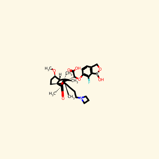 CO[C@@H]1CC[C@@]23CC[C@@H](C)[C@](C)([C@H](C(Oc4ccc5c(c4F)B(O)OC5)C(=O)O)C[C@](C)(CCN4CCC4)C(=O)[C@@H]2C)[C@@H]13